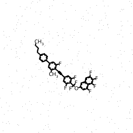 CCCCc1ccc(-c2cc(C)c(C#Cc3cc(F)c(C(F)(F)Oc4cc(F)c5c(F)c(F)c(F)cc5c4)c(F)c3)c(F)c2)cc1